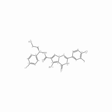 Cc1cc(-c2nn3cc(C(=O)N[C@H](CCO)c4ccc(F)cc4)c(C(C)C)c3c(=O)[nH]2)ccc1Cl